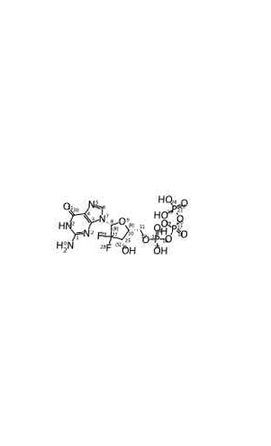 Nc1nc2c(ncn2[C@@H]2O[C@H](COP(=O)(O)OP(=O)(O)OP(=O)(O)O)[C@H](O)C2(F)F)c(=O)[nH]1